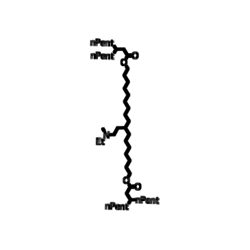 CCCCCC(CCCCC)CC(=O)OCCCCCCCCCC(CCCCCCCOC(=O)CC(CCCCC)CCCCC)CCN(C)CC